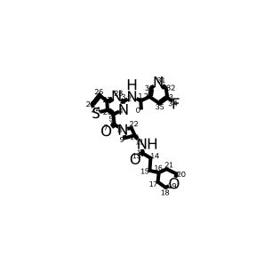 CC(Nc1nc(C(=O)N2CC(NC(=O)CCC3CCOCC3)C2)c2sccc2n1)c1cncc(F)c1